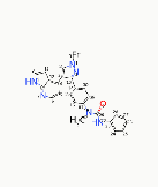 CCn1cc(-c2ccnc3[nH]ccc23)c(-c2ccc(N(C)C(=O)Nc3ccccc3)cc2)n1